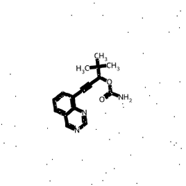 CC(C)(C)C(C#Cc1cccc2cncnc12)OC(N)=O